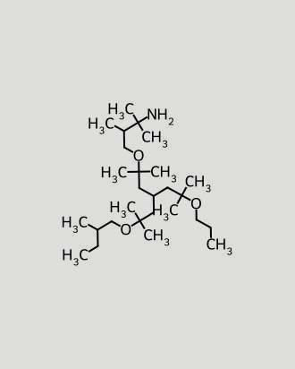 CCCOC(C)(C)CC(CC(C)(C)OCC(C)CC)CC(C)(C)OCC(C)C(C)(C)N